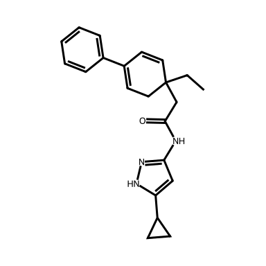 CCC1(CC(=O)Nc2cc(C3CC3)[nH]n2)C=CC(c2ccccc2)=CC1